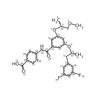 COC[C@H](C)Oc1cc(O[C@@H](C)Cc2cc(F)cc(F)c2)cc(C(=O)Nc2ccc(C(=O)O)cn2)c1